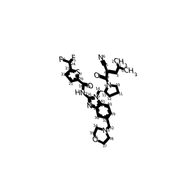 CC(C)/C=C(\C#N)C(=O)N1CCC[C@@H]1Cn1c(NC(=O)c2ccc(C(F)F)s2)nc2cc(CN3CCOCC3)ccc21